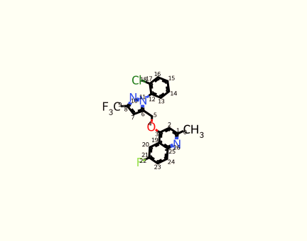 Cc1cc(OCc2cc(C(F)(F)F)nn2-c2ccccc2Cl)c2cc(F)ccc2n1